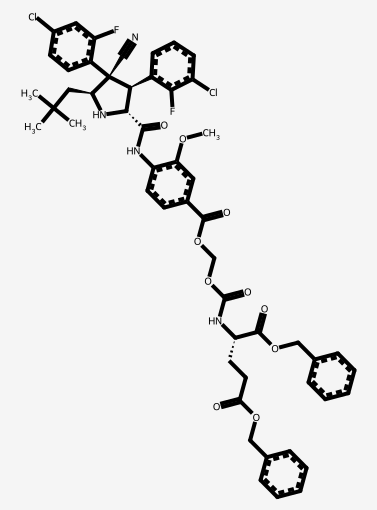 COc1cc(C(=O)OCOC(=O)N[C@@H](CCC(=O)OCc2ccccc2)C(=O)OCc2ccccc2)ccc1NC(=O)[C@@H]1N[C@@H](CC(C)(C)C)[C@](C#N)(c2ccc(Cl)cc2F)[C@H]1c1cccc(Cl)c1F